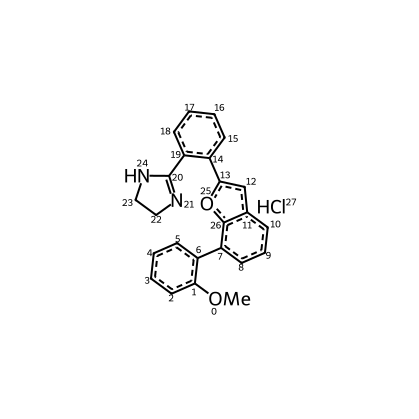 COc1ccccc1-c1cccc2cc(-c3ccccc3C3=NCCN3)oc12.Cl